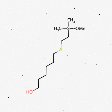 CO[Si](C)(C)CCSCCCCCCO